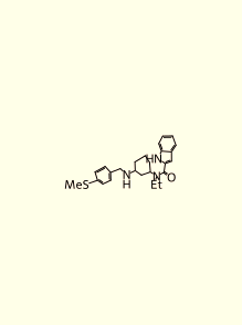 CCN(C(=O)c1cc2ccccc2[nH]1)C1CCCC(NCc2ccc(SC)cc2)C1